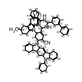 CC1C=Cc2c(c3c(n2C2CC(N4C5C=CCCC5C5CC6C(=CC54)C4CCC=CC4N6C4C=CCCC4)C(C#N)C=C2C2NC(C4C=CCCC4)NC(C4C=CC=C(C5=CC=CCC5)C4)N2)CCC(C)C3)C1